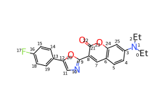 CCN(CC)c1ccc2cc(-c3ncc(-c4ccc(F)cc4)o3)c(=O)oc2c1